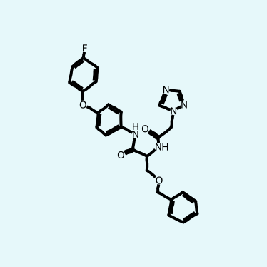 O=C(Cn1cncn1)NC(COCc1ccccc1)C(=O)Nc1ccc(Oc2ccc(F)cc2)cc1